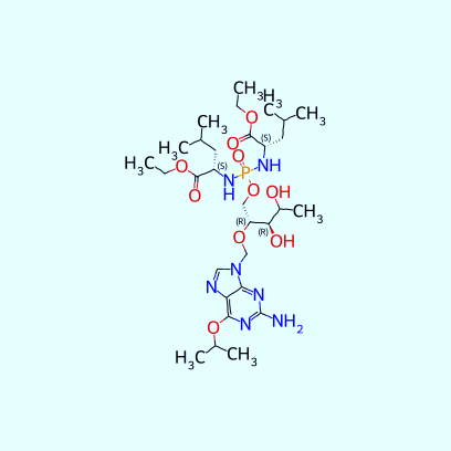 CCOC(=O)[C@H](CC(C)C)NP(=O)(N[C@@H](CC(C)C)C(=O)OCC)OC[C@@H](OCn1cnc2c(OC(C)C)nc(N)nc21)[C@H](O)C(C)O